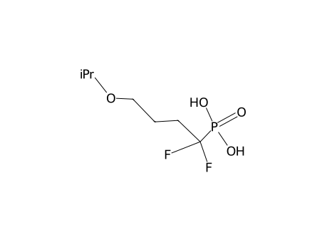 CC(C)OCCCC(F)(F)P(=O)(O)O